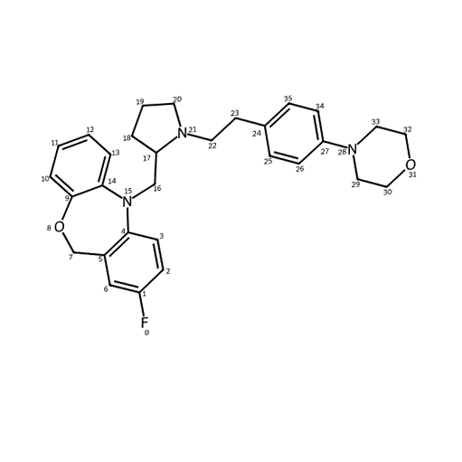 Fc1ccc2c(c1)COc1ccccc1N2CC1CCCN1CCc1ccc(N2CCOCC2)cc1